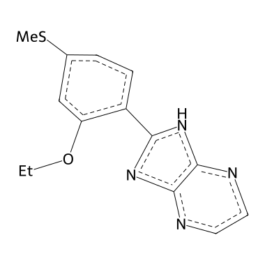 CCOc1cc(SC)ccc1-c1nc2nccnc2[nH]1